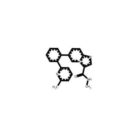 CNC(=O)c1cnc2ccc(-c3ccccc3-c3cccc(C)n3)cn12